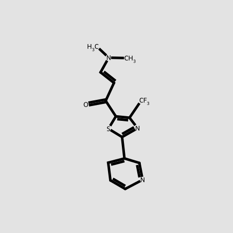 CN(C)C=CC(=O)c1sc(-c2cccnc2)nc1C(F)(F)F